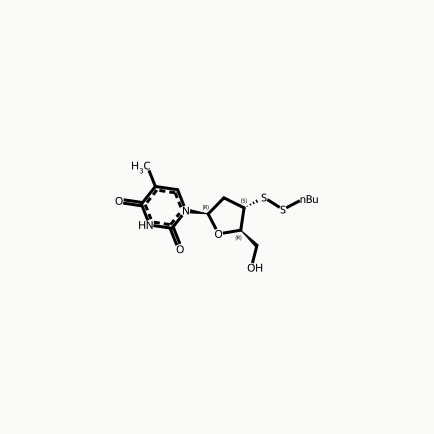 CCCCSS[C@H]1C[C@H](n2cc(C)c(=O)[nH]c2=O)O[C@@H]1CO